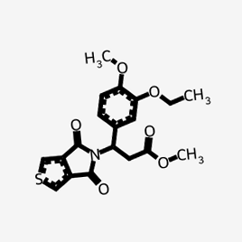 CCOc1cc(C(CC(=O)OC)N2C(=O)c3cscc3C2=O)ccc1OC